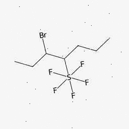 CCCC(C(Br)CC)S(F)(F)(F)(F)F